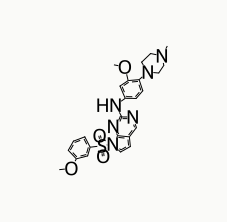 COc1cccc(S(=O)(=O)n2ccc3cnc(Nc4ccc(N5CCN(C)CC5)c(OC)c4)nc32)c1